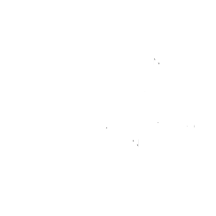 O=C1c2ncccc2C2(c3ccccc3)SCCN12